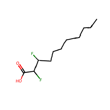 CCCCCCCCC(F)C(F)C(=O)O